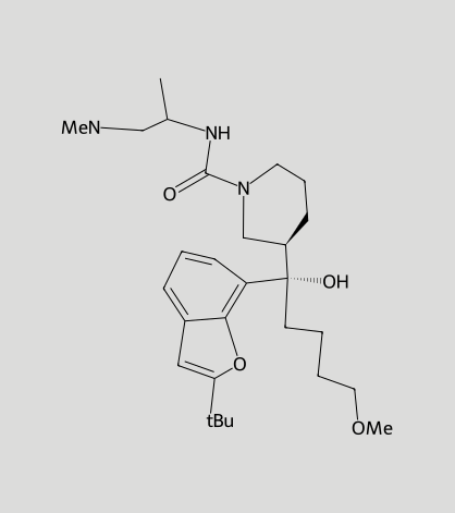 CNCC(C)NC(=O)N1CCC[C@@H]([C@@](O)(CCCCOC)c2cccc3cc(C(C)(C)C)oc23)C1